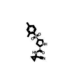 Cc1ccc(S(=O)(=O)[C@H]2CN[C@H](C(=O)NC3(C#N)CC3)C2)c(C)c1